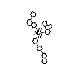 c1ccc(-c2cccc3cc(-c4nc(-c5cccc(-c6ccc(-c7ccc8ccccc8c7)cc6)c5)nc(-c5cccc6oc7ccccc7c56)n4)ccc23)cc1